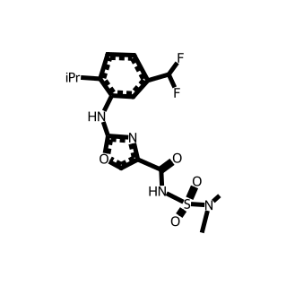 CC(C)c1ccc(C(F)F)cc1Nc1nc(C(=O)NS(=O)(=O)N(C)C)co1